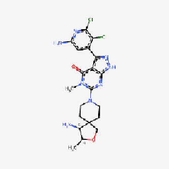 C[C@@H]1OCC2(CCN(c3nc4[nH]nc(-c5cc(N)nc(Cl)c5Cl)c4c(=O)n3C)CC2)[C@@H]1N